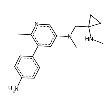 CNC1(CN(C)c2cnc(C)c(-c3ccc(N)cc3)c2)CC1